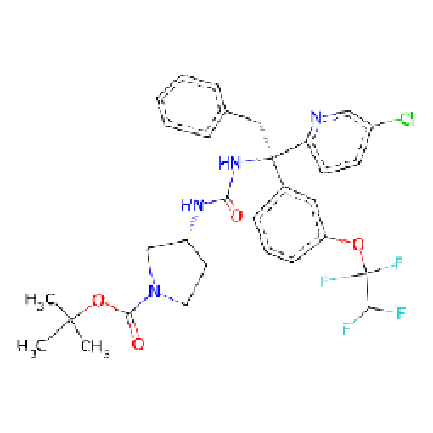 CC(C)(C)OC(=O)N1CC[C@@H](NC(=O)N[C@](Cc2ccccc2)(c2cccc(OC(F)(F)C(F)F)c2)c2ccc(Cl)cn2)C1